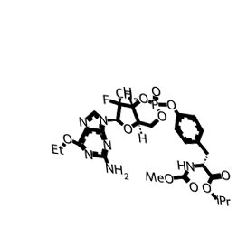 CCOc1nc(N)nc2c1ncn2[C@@H]1O[C@@H]2COP(=O)(Oc3ccc(C[C@@H](NC(=O)OC)C(=O)OC(C)C)cc3)O[C@H]2[C@@]1(C)F